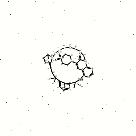 C[C@@H]1Nc2ncnc3c2cc(N2CCS(=O)(=O)CC2)c(=O)n3CCCCCCCN2C3CCC2CC(C3)C(F)(F)c2cccc1c2F